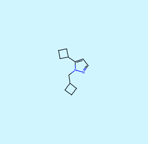 [c]1cc(C2CCC2)n(CC2CCC2)n1